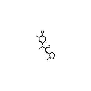 CCc1ccc(N(C)C(=O)N=C2CCCN2C)cc1C